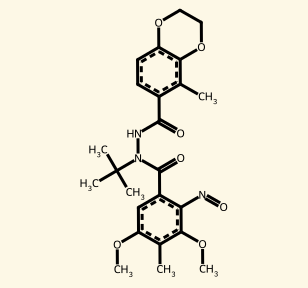 COc1cc(C(=O)N(NC(=O)c2ccc3c(c2C)OCCO3)C(C)(C)C)c(N=O)c(OC)c1C